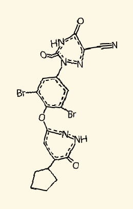 N#Cc1nn(-c2cc(Br)c(Oc3cc(C4CCCC4)c(=O)[nH]n3)c(Br)c2)c(=O)[nH]c1=O